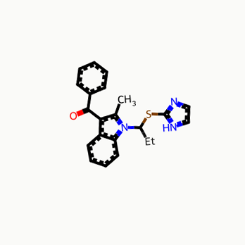 CCC(Sc1ncc[nH]1)n1c(C)c(C(=O)c2ccccc2)c2ccccc21